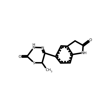 CC1SC(=O)NN=C1c1ccc2c(c1)CC(=O)N2